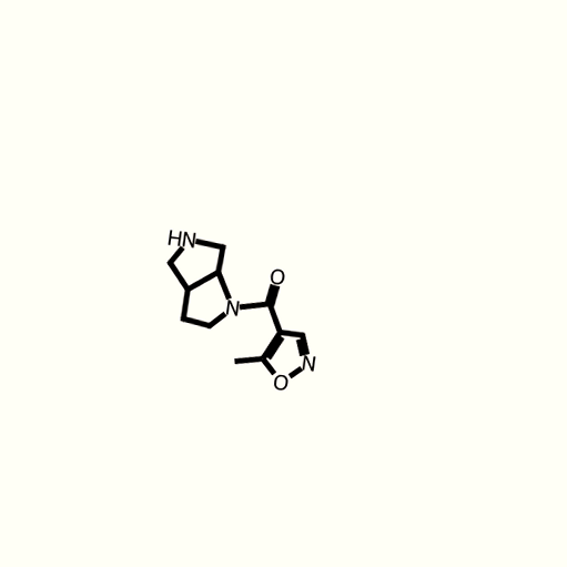 Cc1oncc1C(=O)N1CCC2CNCC21